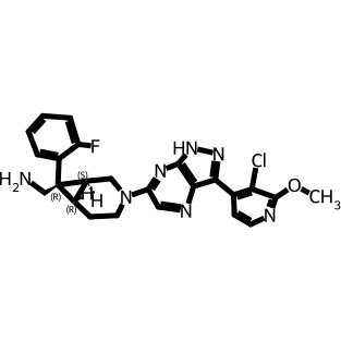 COc1nccc(-c2n[nH]c3nc(N4CC[C@@H]5[C@H](C4)[C@@]5(CN)c4ccccc4F)cnc23)c1Cl